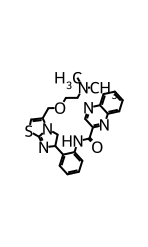 CN(C)CCOCC1=CSC2=NC(c3ccccc3NC(=O)c3cnc4ccccc4n3)CN12